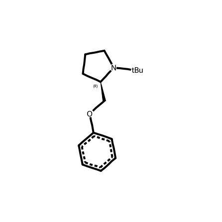 CC(C)(C)N1CCC[C@@H]1COc1ccccc1